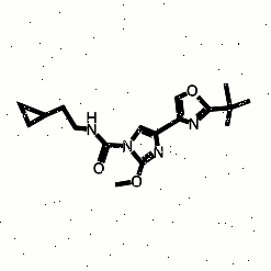 COc1nc(-c2coc(C(C)(C)C)n2)cn1C(=O)NCCC1CC1